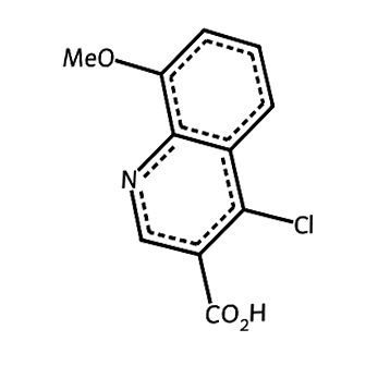 COc1cccc2c(Cl)c(C(=O)O)cnc12